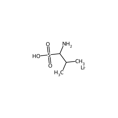 CC(C)C(N)S(=O)(=O)O.[Li]